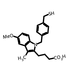 COc1ccc2c(c1)c(C)c(CCCC(=O)O)n2Cc1ccc(CS)cc1